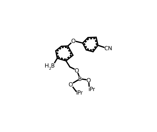 Bc1ccc(Oc2ccc(C#N)cc2)cc1COB(OC(C)C)OC(C)C